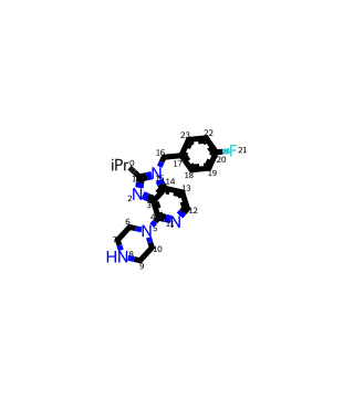 CC(C)c1nc2c(N3CCNCC3)nccc2n1Cc1ccc(F)cc1